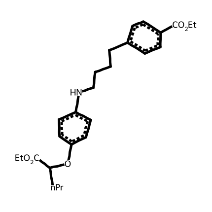 CCCC(Oc1ccc(NCCCCc2ccc(C(=O)OCC)cc2)cc1)C(=O)OCC